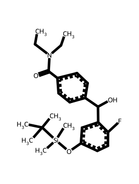 CCN(CC)C(=O)c1ccc(C(O)c2cc(O[Si](C)(C)C(C)(C)C)ccc2F)cc1